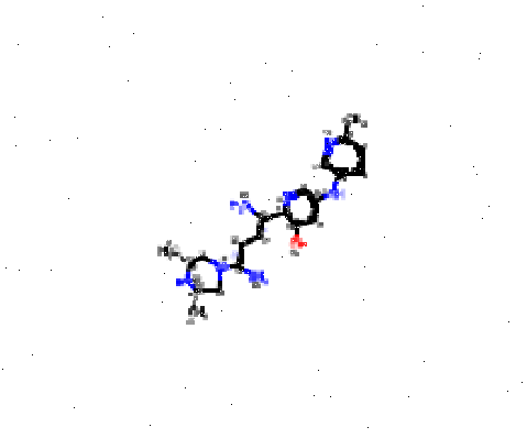 Cc1ccc(Nc2cnc(/C(N)=C/C=C(\N)N3C[C@@H](C)N[C@@H](C)C3)c(O)c2)cn1